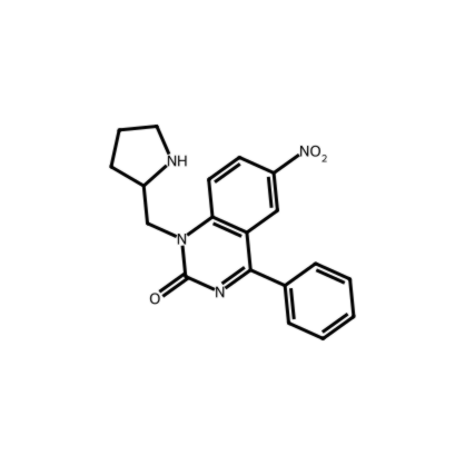 O=c1nc(-c2ccccc2)c2cc([N+](=O)[O-])ccc2n1CC1CCCN1